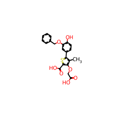 Cc1c(-c2ccc(O)c(OCc3ccccc3)c2)sc(C(=O)O)c1OCC(=O)O